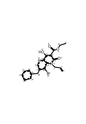 C=CCn1c(=O)c(C(=O)OCC)c(O)c2ncc(Cc3ccccc3)c(Br)c21